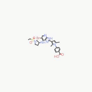 CCS(=O)(=O)N1CCC(Nc2c(Br)cnc3[nH]c(-c4cc(C)n(-c5ccc(C(=O)O)cc5)c4C)nc23)C1